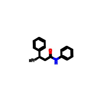 CCC[C@H](CC(=O)Nc1ccccc1)c1ccccc1